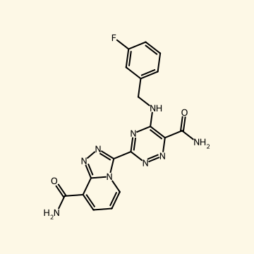 NC(=O)c1nnc(-c2nnc3c(C(N)=O)cccn23)nc1NCc1cccc(F)c1